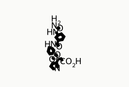 NC(=O)Nc1cccc(C(=O)Nc2cccc(S(=O)(=O)C(CC(=O)O)c3cccnc3)c2)c1